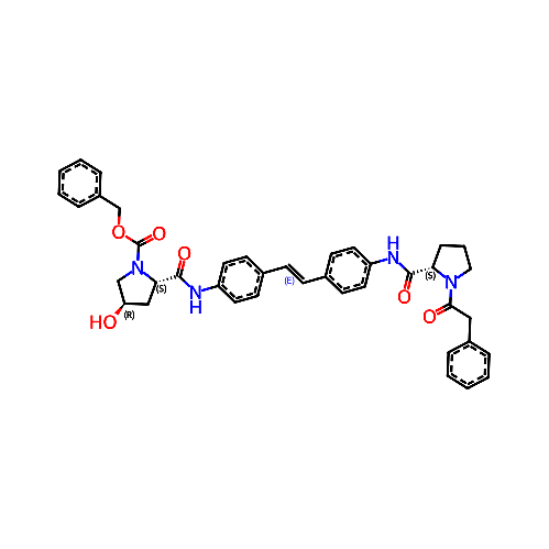 O=C(Nc1ccc(/C=C/c2ccc(NC(=O)[C@@H]3C[C@@H](O)CN3C(=O)OCc3ccccc3)cc2)cc1)[C@@H]1CCCN1C(=O)Cc1ccccc1